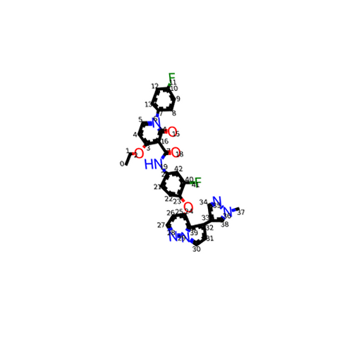 CCOc1ccn(-c2ccc(F)cc2)c(=O)c1C(=O)Nc1ccc(Oc2ccnn3ccc(-c4cnn(C)c4)c23)c(F)c1